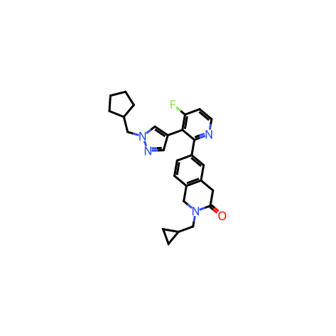 O=C1Cc2cc(-c3nccc(F)c3-c3cnn(CC4CCCC4)c3)ccc2CN1CC1CC1